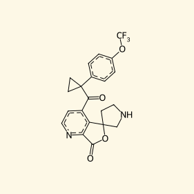 O=C1OC2(CCNC2)c2c(C(=O)C3(c4ccc(OC(F)(F)F)cc4)CC3)ccnc21